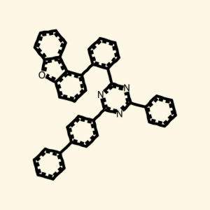 c1ccc(-c2ccc(-c3nc(-c4ccccc4)nc(-c4ccccc4-c4cccc5oc6ccccc6c45)n3)cc2)cc1